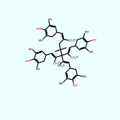 CC(C)(C)C1=CC(C=C(CC(C)(C)C(C(=CC2C=C(C(C)(C)C)C(O)=C(C(C)(C)C)C2)C(=O)O)(C(=CC2C=C(C(C)(C)C)C(O)=C(C(C)(C)C)C2)C(=O)O)C(=CC2C=C(C(C)(C)C)C(O)=C(C(C)(C)C)C2)C(=O)O)C(=O)O)CC(C(C)(C)C)=C1O